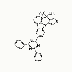 CC1(C)c2cscc2-n2c3ccc(-c4nc(-c5ccccc5)nc(-c5ccccc5)n4)cc3c3cccc1c32